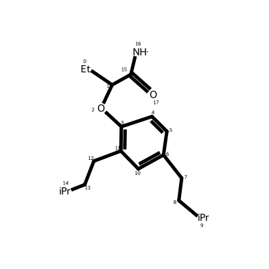 CCC(Oc1ccc(CCC(C)C)cc1CCC(C)C)C([NH])=O